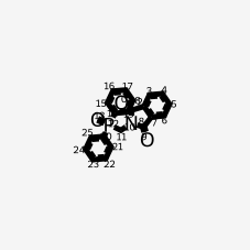 O=C1c2ccccc2C(=O)N1CP(=O)(c1ccccc1)c1ccccc1